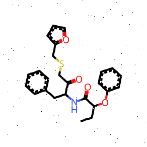 CCC(Oc1ccccc1)C(=O)NC(Cc1ccccc1)C(=O)CSCc1ccco1